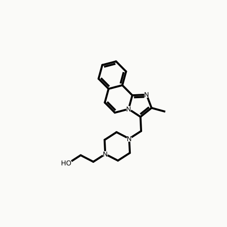 Cc1nc2c3ccccc3ccn2c1CN1CCN(CCO)CC1